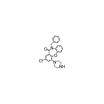 O=C1c2cc(Cl)cc(N3CCNCC3)c2Oc2ccccc2N1Cc1ccccc1